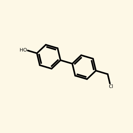 Oc1ccc(-c2ccc(CCl)cc2)cc1